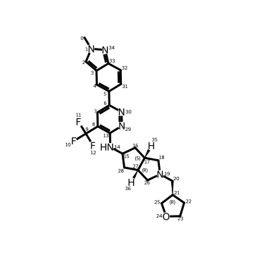 Cn1cc2cc(-c3cc(C(F)(F)F)c(NC4C[C@@H]5CN(C[C@H]6CCOC6)C[C@@H]5C4)nn3)ccc2n1